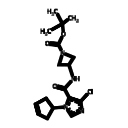 CC(C)(C)OC(=O)N1CC(NC(=O)c2c(Cl)ncn2C2CC=CC2)C1